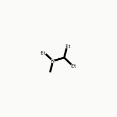 [CH2]CN(C)C(CC)CC